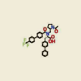 CC(=O)N1CCC[C@@H]1CN(C(=O)c1ccc(-c2ccc(C(F)(F)F)cc2)cc1)[C@@H](Cc1ccc(-c2ccccc2)cc1)C(=O)O